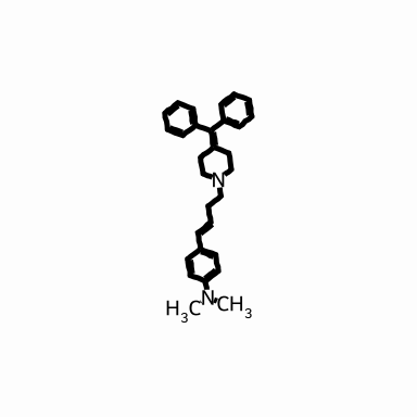 CN(C)c1ccc(C=CCCN2CCC(=C(c3ccccc3)c3ccccc3)CC2)cc1